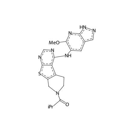 COc1nc2[nH]ncc2cc1Nc1ncnc2sc3c(c12)CCN(C(=O)C(C)C)C3